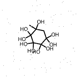 CC1(O)CC(O)(O)C(O)(O)C(O)(O)C1(O)O